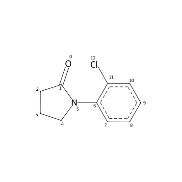 O=C1CCCN1c1ccccc1Cl